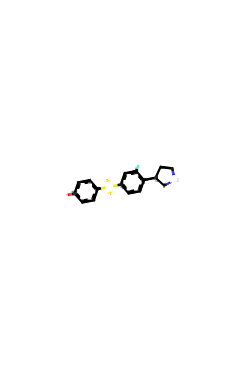 O=S(=O)(c1ccc(O)cc1)c1ccc(C2CCNC2)c(F)c1